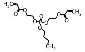 C=CC(=O)OCCOP(=O)(OCCCC)OCCOC(=O)C=C